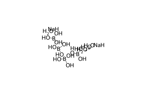 O.O.O.O.OB(O)O.OB(O)O.OB(O)O.OB(O)O.[NaH].[NaH]